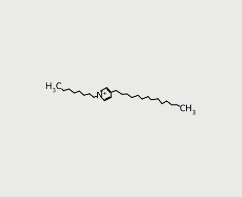 CCCCCCCCCCCCCCc1cc[n+](CCCCCCCC)cc1